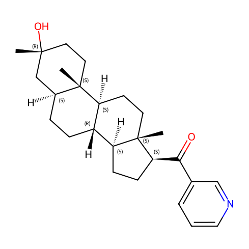 C[C@@]1(O)CC[C@@]2(C)[C@@H](CC[C@@H]3[C@@H]2CC[C@]2(C)[C@@H](C(=O)c4cccnc4)CC[C@@H]32)C1